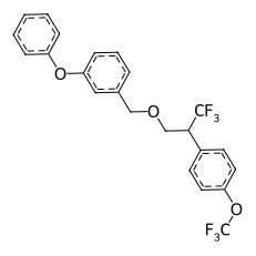 FC(F)(F)Oc1ccc(C(COCc2cccc(Oc3ccccc3)c2)C(F)(F)F)cc1